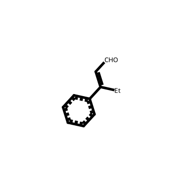 CCC(=CC=O)c1ccccc1